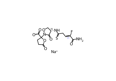 NC(=O)/C(F)=C/CC(=S)N[C@H]1CON(C2(C(=O)[O-])CCC(=O)O2)C1=O.[Na+]